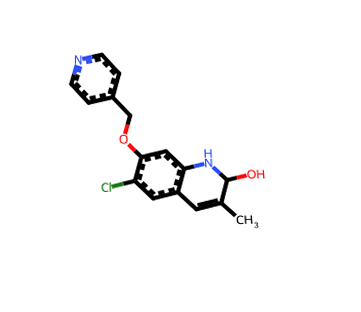 CC1=Cc2cc(Cl)c(OCc3ccncc3)cc2NC1O